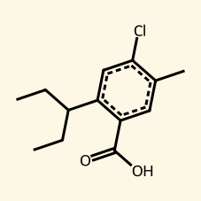 CCC(CC)c1cc(Cl)c(C)cc1C(=O)O